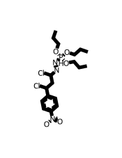 CCCO[PH](N=NC(Cl)CC(Cl)c1ccc([N+](=O)[O-])cc1)(OCCC)OCCC